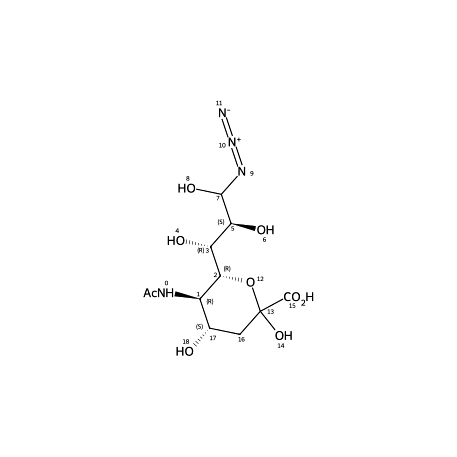 CC(=O)N[C@H]1[C@H]([C@H](O)[C@H](O)C(O)N=[N+]=[N-])OC(O)(C(=O)O)C[C@@H]1O